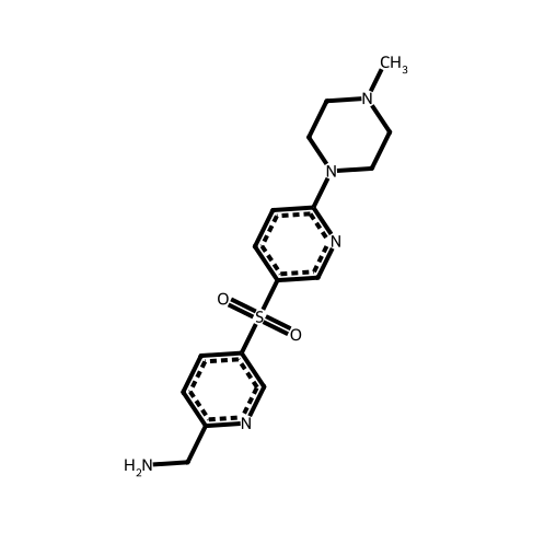 CN1CCN(c2ccc(S(=O)(=O)c3ccc(CN)nc3)cn2)CC1